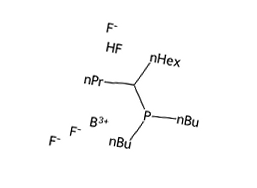 CCCCCCC(CCC)P(CCCC)CCCC.F.[B+3].[F-].[F-].[F-]